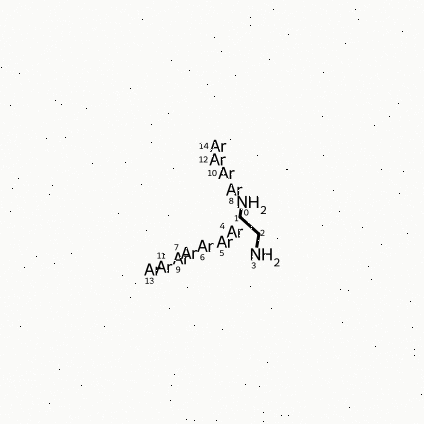 NCCN.[Ar].[Ar].[Ar].[Ar].[Ar].[Ar].[Ar].[Ar].[Ar].[Ar].[Ar]